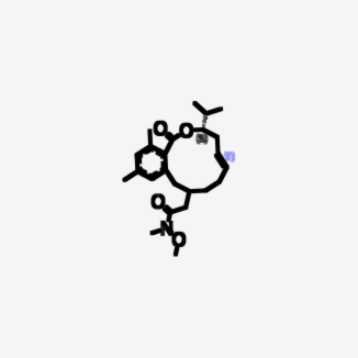 CON(C)C(=O)CC1CC/C=C/C[C@@H](C(C)C)OC(=O)c2c(C)cc(C)cc2C1